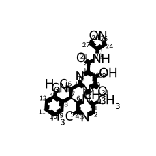 Cc1cnc(C)c([C@@H](c2ccccc2C#N)[C@@H](C)c2nc(C(=O)Nc3cnoc3)c(O)c(=O)n2C)n1